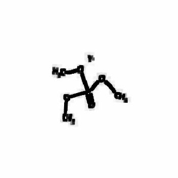 COP(=O)(OC)OC.[Y]